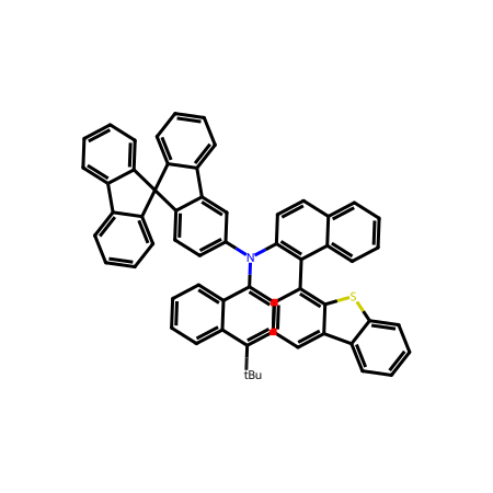 CC(C)(C)c1ccc(N(c2ccc3c(c2)-c2ccccc2C32c3ccccc3-c3ccccc32)c2ccc3ccccc3c2-c2cccc3c2sc2ccccc23)c2ccccc12